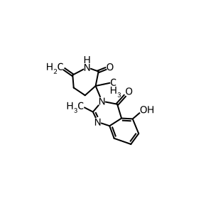 C=C1CCC(C)(n2c(C)nc3cccc(O)c3c2=O)C(=O)N1